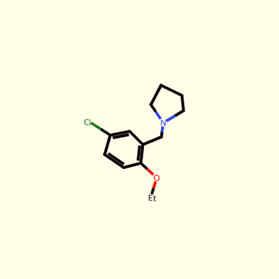 CCOc1ccc(Cl)cc1CN1CCCC1